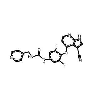 N#Cc1c[nH]c2nccc(Oc3c(F)cc(NC(=O)NCc4ccncc4)cc3F)c12